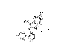 CCCc1c(Cn2ccnc2-c2cnccn2)nc2ccc(Cl)nn12